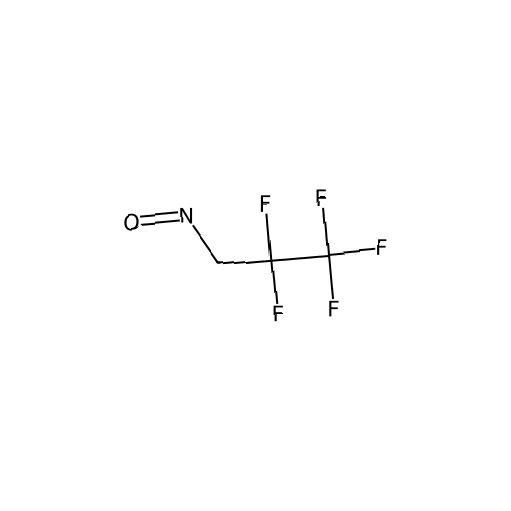 O=NCC(F)(F)C(F)(F)F